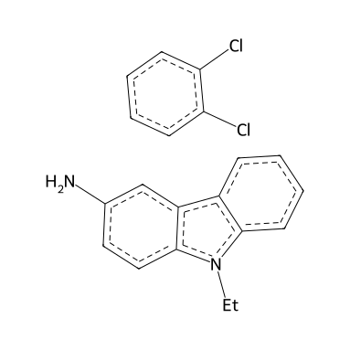 CCn1c2ccccc2c2cc(N)ccc21.Clc1ccccc1Cl